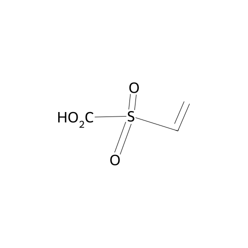 C=CS(=O)(=O)C(=O)O